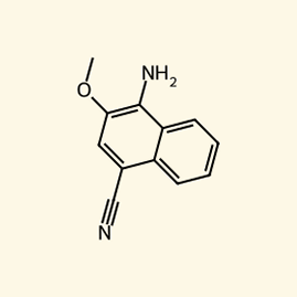 COc1cc(C#N)c2ccccc2c1N